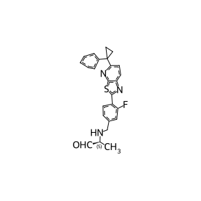 C[C@@H](C=O)NCc1ccc(-c2nc3ccc(C4(c5ccccc5)CC4)nc3s2)c(F)c1